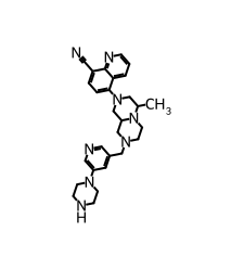 CC1CN(c2ccc(C#N)c3ncccc23)CC2CN(Cc3cncc(N4CCNCC4)c3)CCN12